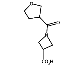 O=C(O)C1CN(C(=O)C2CCOC2)C1